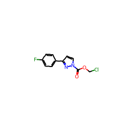 O=C(OCCl)n1ccc(-c2ccc(F)cc2)n1